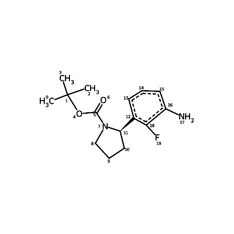 CC(C)(C)OC(=O)N1CCC[C@@H]1c1cccc(N)c1F